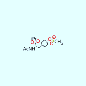 CC(=O)N[C@@H](Cc1ccc(OS(C)(=O)=O)cc1)C(=O)OC(C)C